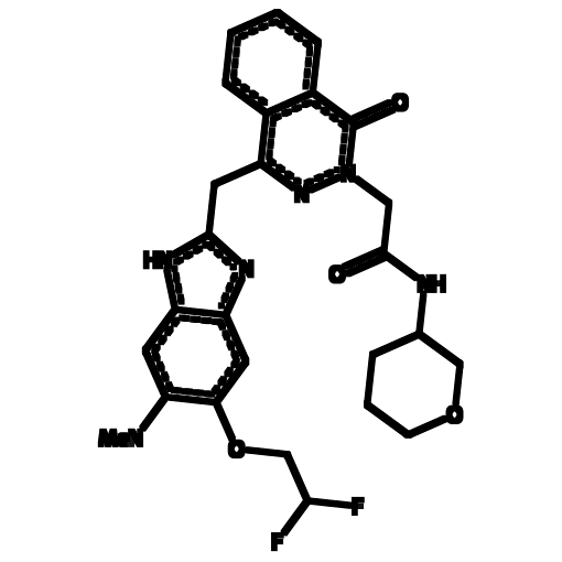 CNc1cc2[nH]c(Cc3nn(CC(=O)NC4CCCOC4)c(=O)c4ccccc34)nc2cc1OCC(F)F